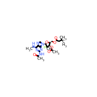 CNc1nc(NC(C)=O)nc2c1ncn2[C@@H]1O[C@H](COC(=O)CC(C)C)[C@@H](OC(C)=O)[C@@]1(C)F